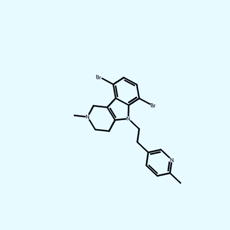 Cc1ccc(CCn2c3c(c4c(Br)ccc(Br)c42)CN(C)CC3)cn1